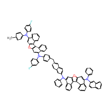 Cc1ccc(N(c2ccc(F)cc2)c2cc3oc4cc(N(c5ccc(F)cc5)c5ccc(Cc6ccc7cc(N(c8ccccc8)c8cc9oc%10cc(N(c%11ccccc%11)c%11ccc%12ccccc%12c%11)c%11ccccc%11c%10c9c9ccccc89)ccc7c6)cc5)c5ccccc5c4c3c3ccccc23)cc1